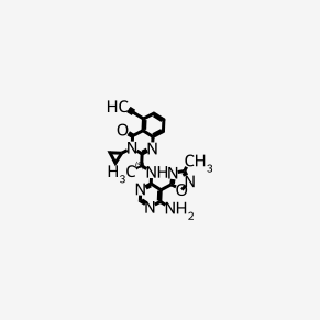 C#Cc1cccc2nc([C@H](C)Nc3ncnc(N)c3-c3nc(C)no3)n(C3CC3)c(=O)c12